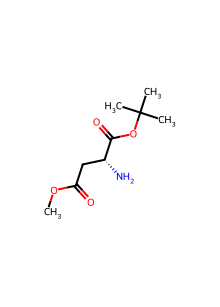 COC(=O)C[C@@H](N)C(=O)OC(C)(C)C